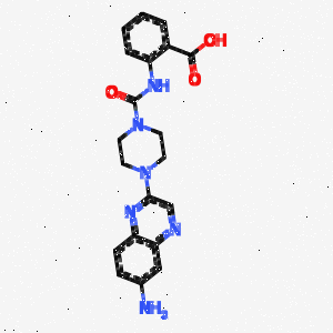 Nc1ccc2nc(N3CCN(C(=O)Nc4ccccc4C(=O)O)CC3)cnc2c1